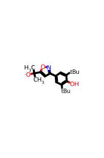 CC(C)(C)c1cc(-c2cc(C(C)(C)[O])on2)cc(C(C)(C)C)c1O